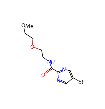 CCc1cnc(C(=O)NCCOCCOC)nc1